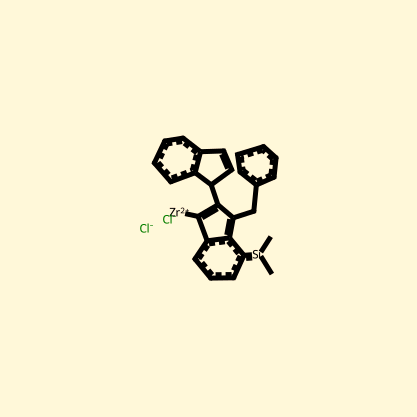 C[Si](C)=c1cccc2c1=C(Cc1ccccc1)C(C1C=Cc3ccccc31)=[C]2[Zr+2].[Cl-].[Cl-]